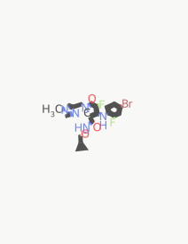 Cn1cnc(Cn2cc(C(=O)NOCC3CC3)c(Nc3ccc(Br)cc3F)c(F)c2=O)c1